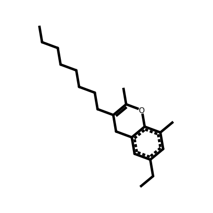 CCCCCCCCC1=C(C)Oc2c(C)cc(CC)cc2C1